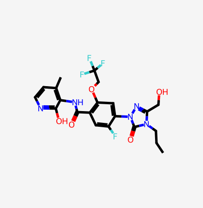 CCCn1c(CO)nn(-c2cc(OCC(F)(F)F)c(C(=O)Nc3c(C)ccnc3O)cc2F)c1=O